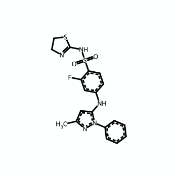 Cc1cc(Nc2ccc(S(=O)(=O)NC3=NCCS3)c(F)c2)n(-c2ccccc2)n1